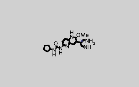 COC1Nc2ccc(NC(=O)NC3CCCC3)nc2C=C1/C(C=N)=C/N